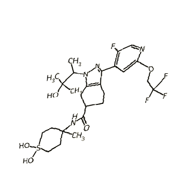 CC(n1nc(-c2cc(OCC(F)(F)F)ncc2F)c2c1CC(C(=O)NC1(C)CCS(O)(O)CC1)CC2)C(C)(C)O